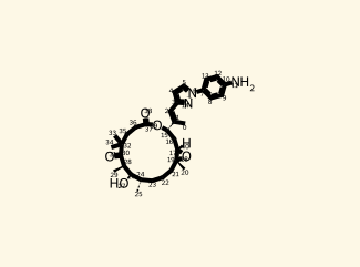 C/C(=C\c1ccn(-c2ccc(N)cc2)n1)[C@@H]1C[C@@H]2O[C@]2(C)CCC[C@H](C)[C@H](O)[C@@H](C)C(=O)C(C)(C)CCC(=O)O1